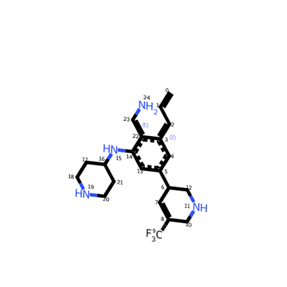 C=C/C=c1/cc(C2C=C(C(F)(F)F)CNC2)cc(NC2CCNCC2)/c1=C/N